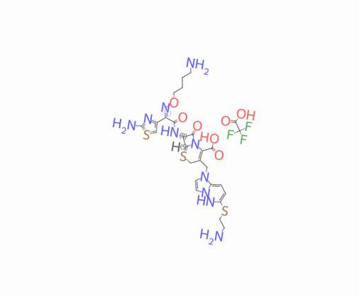 NCCCCO/N=C(\C(=O)N[C@@H]1C(=O)N2C(C(=O)O)=C(CN3C=CN4NC(SCCN)=CC=C34)CS[C@@H]12)c1csc(N)n1.O=C(O)C(F)(F)F